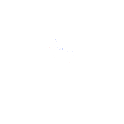 Cc1ccc(CSc2csc(NC(=O)N(C)C)c2C(N)=O)cc1